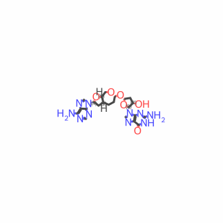 Nc1nc2c(ncn2[C@@H]2OC(OC3CC[C@H]4C[C@H](n5cnc6c(N)ncnc65)O[C@@H]4CO3)C[C@H]2O)c(=O)[nH]1